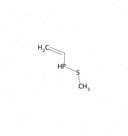 C=CPSC